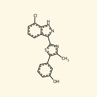 Cc1nc(-c2n[nH]c3c(Cl)cccc23)sc1-c1cccc(O)c1